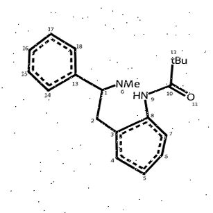 CNC(Cc1ccccc1NC(=O)C(C)(C)C)c1ccccc1